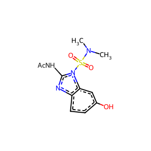 CC(=O)Nc1nc2ccc(O)cc2n1S(=O)(=O)N(C)C